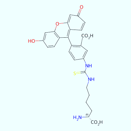 N[C@H](CCCCNC(=S)Nc1ccc(-c2c3ccc(=O)cc-3oc3cc(O)ccc23)c(C(=O)O)c1)C(=O)O